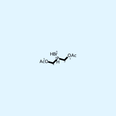 Br.CC(=O)OCPCOC(C)=O